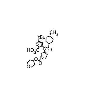 CC(C)(C)c1cc(N(C(=O)[C@H]2CC[C@H](C)CC2)[C@H]2CCN(C(=O)OC3CCOCC3)C2)c(C(=O)O)s1